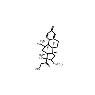 CC(=O)OCC(=O)[C@@]1(O)C(CC(=O)O)C[C@H]2[C@@H]3CCC4=CC(=O)C=C[C@]4(C)[C@@]3(F)C(O)C[C@@]21C